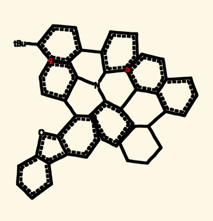 CC(C)(C)c1ccc(-c2ccccc2N(c2ccccc2-c2cccc3c2oc2ccccc23)c2ccccc2-c2cccc3cccc(C4CCCCC4)c23)cc1